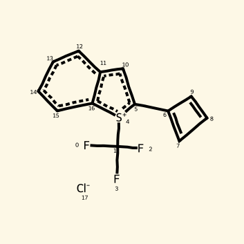 FC(F)(F)[s+]1c(C2=CC=C2)cc2ccccc21.[Cl-]